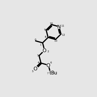 CC(OCC(=O)OC(C)(C)C)c1ccncc1